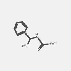 CCCCCC(=O)NC([C]=O)c1ccccc1